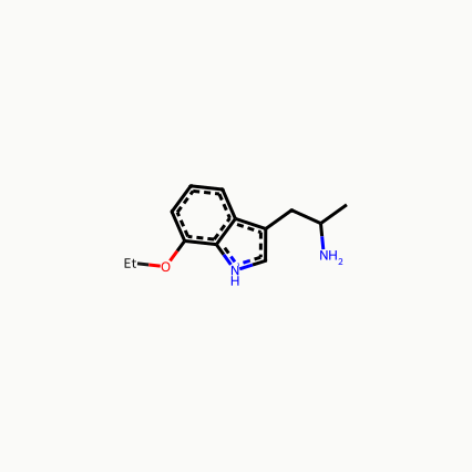 CCOc1cccc2c(CC(C)N)c[nH]c12